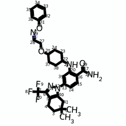 CC1(C)CCc2c(C(F)(F)F)nn(-c3ccc(C(N)=O)c(NC4CCC(OC/C=N\Oc5ccccc5)CC4)c3)c2C1